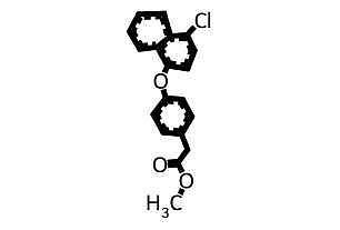 COC(=O)Cc1ccc(Oc2ccc(Cl)c3ccccc23)cc1